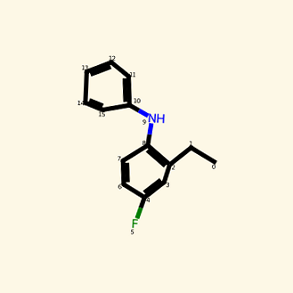 CCc1cc(F)ccc1Nc1ccccc1